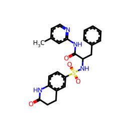 Cc1ccnc(NC(=O)C(Cc2ccccc2)NS(=O)(=O)c2ccc3c(c2)CCC(=O)N3)c1